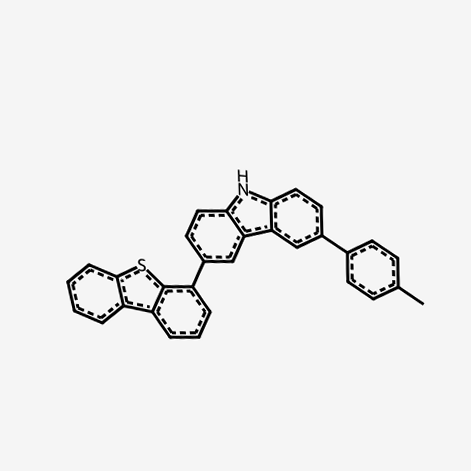 Cc1ccc(-c2ccc3[nH]c4ccc(-c5cccc6c5sc5ccccc56)cc4c3c2)cc1